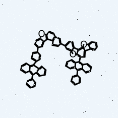 c1ccc(-c2c3ccccc3c(-c3ccc(-c4ccc5oc6ccc7cc(-c8ccc9c(c8)oc8c(-c%10c%11ccccc%11c(-c%11ccccc%11)c%11ccccc%10%11)cc%10c%11ccccc%11oc%10c89)ccc7c6c5c4)cc3)c3ccccc23)cc1